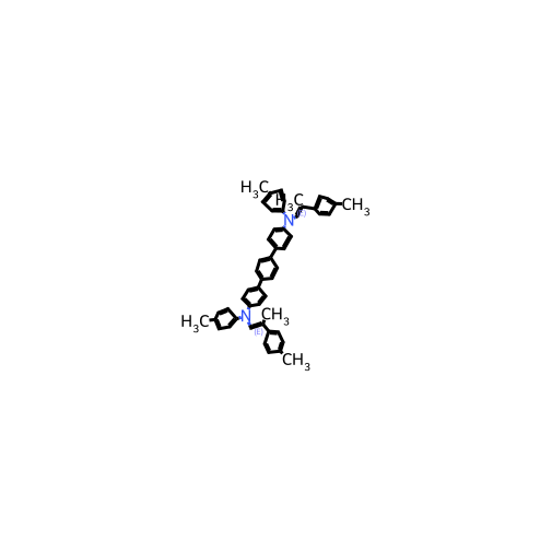 C/C(=C\N(c1ccc(C)cc1)c1ccc(-c2ccc(-c3ccc(N(/C=C(\C)c4ccc(C)cc4)c4ccc(C)cc4)cc3)cc2)cc1)c1ccc(C)cc1